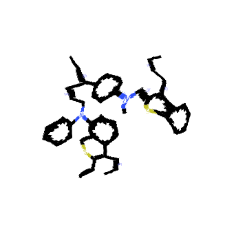 C=CC1=C(/C=C\C)c2cccc(N(C/C=C\C(=C/C)c3ccc(N(C)\C=c4/sc5ccccc5/c4=C/C=C\C)cc3)c3ccccc3)c2CS1